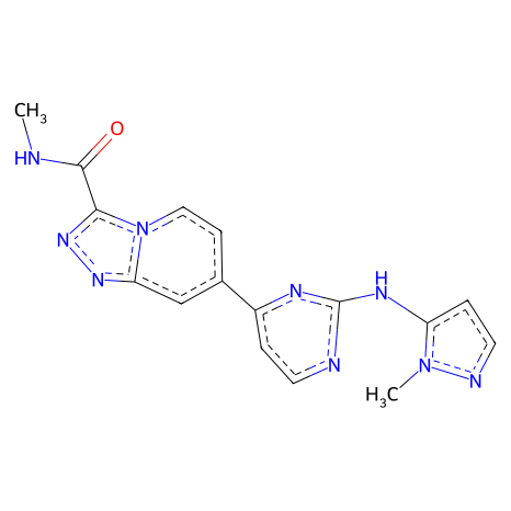 CNC(=O)c1nnc2cc(-c3ccnc(Nc4ccnn4C)n3)ccn12